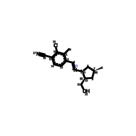 Cc1c(/C=N/N2C[C@H](C)C[C@H]2CO)ccc(C#N)c1Cl